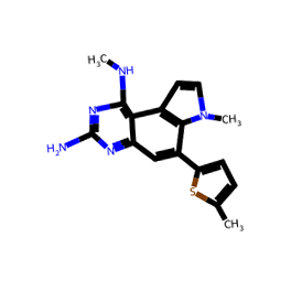 CNc1nc(N)nc2cc(-c3ccc(C)s3)c3c(ccn3C)c12